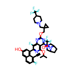 C#Cc1c(F)ccc2cc(O)cc(-c3nc(OC(C)C)c4c(N5CC6CCC(C5)N6C(=O)C(F)(F)F)nc(OCC5(CN6CCC(C(F)(F)F)CC6)CC5)nc4c3F)c12